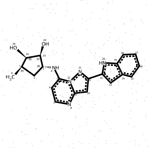 [CH2][C@@H]1C[C@@H](Nc2ccnc3cc(-c4cc5ccccc5[nH]4)nn23)[C@H](O)[C@@H]1O